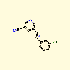 N#Cc1cncc(/C=C/c2cccc(Cl)c2)c1